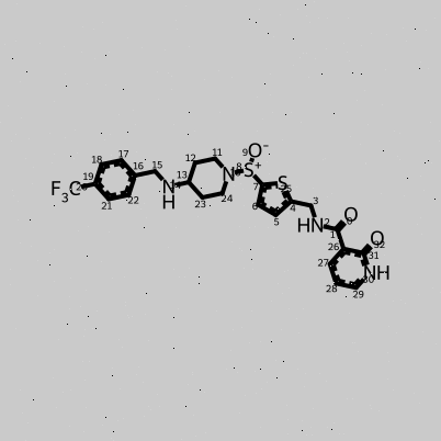 O=C(NCc1ccc([S+]([O-])N2CCC(NCc3ccc(C(F)(F)F)cc3)CC2)s1)c1ccc[nH]c1=O